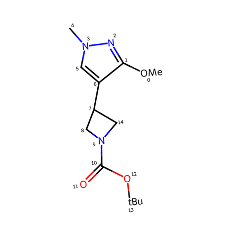 COc1nn(C)cc1C1CN(C(=O)OC(C)(C)C)C1